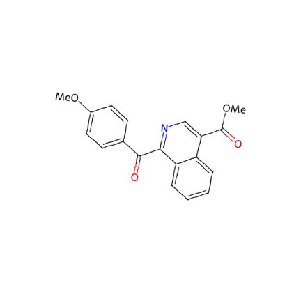 COC(=O)c1cnc(C(=O)c2ccc(OC)cc2)c2ccccc12